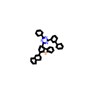 c1ccc(-c2cccc(-c3nc(-c4ccccc4)nc(-c4ccc(-c5ccc6ccccc6c5)c5sc6ccccc6c45)n3)c2)cc1